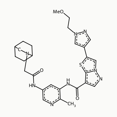 COCCn1cc(-c2cn3ncc(C(=O)Nc4cc(NC(=O)CN5CC6CCC5CC6)cnc4C)c3s2)cn1